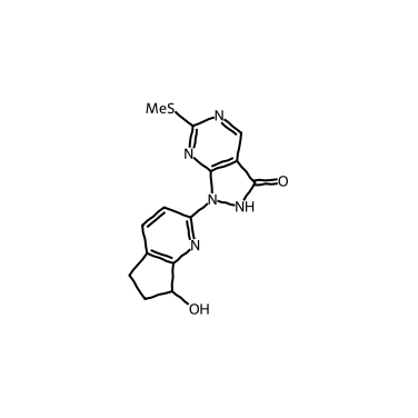 CSc1ncc2c(=O)[nH]n(-c3ccc4c(n3)C(O)CC4)c2n1